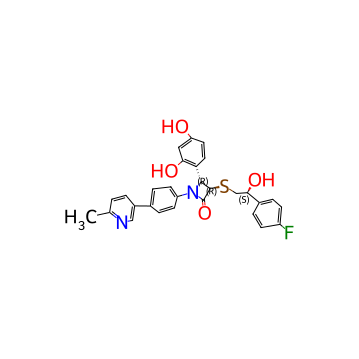 Cc1ccc(-c2ccc(N3C(=O)[C@H](SC[C@@H](O)c4ccc(F)cc4)[C@H]3c3ccc(O)cc3O)cc2)cn1